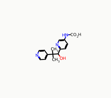 CC(C)(c1ccncc1)C(O)c1ccc(NC(=O)O)cn1